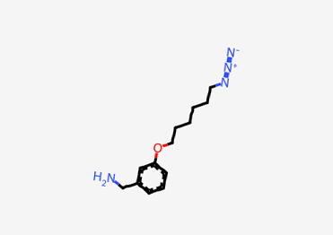 [N-]=[N+]=NCCCCCCOc1cccc(CN)c1